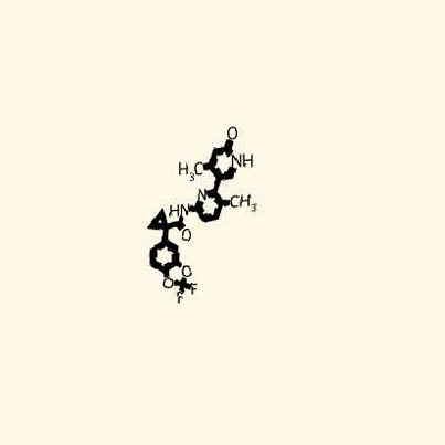 Cc1cc(=O)[nH]cc1-c1nc(NC(=O)C2(c3ccc4c(c3)OC(F)(F)O4)CC2)ccc1C